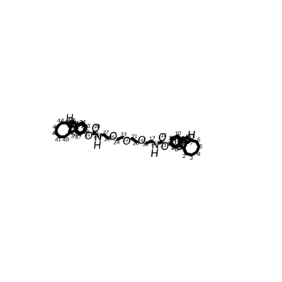 C[C@@]12CCCCC[C@@H](Cc3ccc(OC(=O)NCCOCCOCCOCCNC(=O)Oc4ccc5c(c4)[C@@]4(C)CCCCC[C@@H](C5)[C@@H]4N)cc31)[C@@H]2N